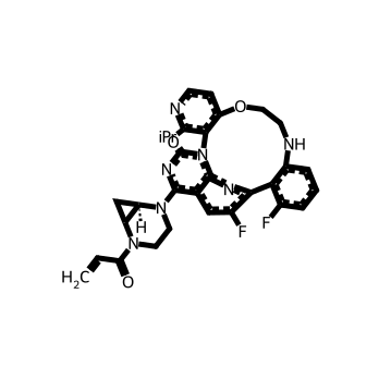 C=CC(=O)N1CCN(c2nc(=O)n3c4nc(c(F)cc24)-c2c(F)cccc2NCCOc2ccnc(C(C)C)c2-3)[C@@H]2CC21